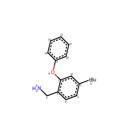 CC(C)(C)c1ccc(CN)c(Oc2ccccc2)c1